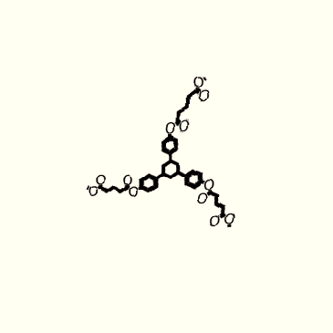 COC(=O)CCCC(=O)Oc1ccc(C2CC(c3ccc(OC(=O)CCCC(=O)OC)cc3)CC(c3ccc(OC(=O)CCCC(=O)OC)cc3)C2)cc1